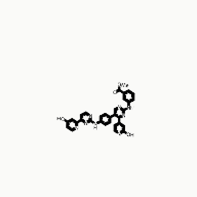 COC(=O)c1cccc(Nc2ncc(-c3ccc(Nc4nccc(-c5cc(O)ccn5)n4)cc3)c(-c3ccnc(O)c3)n2)c1